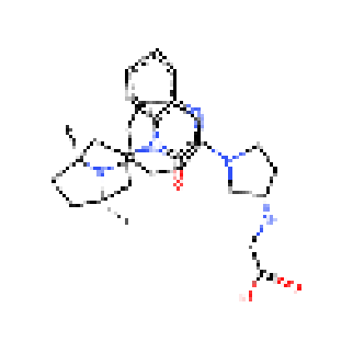 O=C(O)CN[C@H]1CCN(c2nc3ccccc3n([C@H]3C[C@H]4CC[C@@H](C3)N4C3CCCCCCC3)c2=O)C1